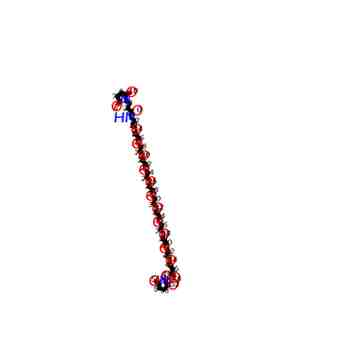 O=C(CCN1C(=O)C=CC1=O)NCCOCCOCCOCCOCCOCCOCCOCCOCCOCCOCCOCCC(=O)ON1C(=O)CCC1=O